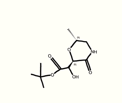 C[C@@H]1CNC(=O)[C@@H](C(O)C(=O)OC(C)(C)C)O1